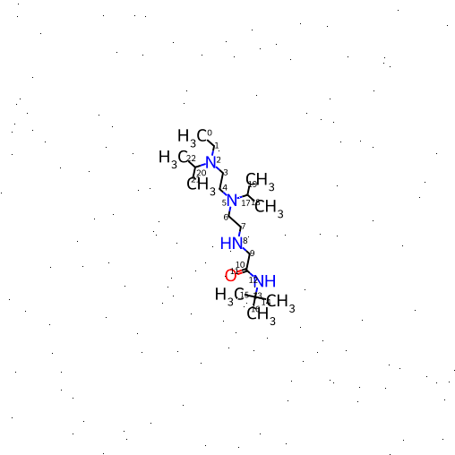 CCN(CCN(CCNCC(=O)NC(C)(C)C)C(C)C)C(C)C